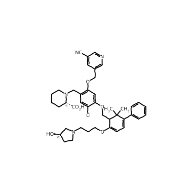 CC1(C)C(c2ccccc2)=CC=C(OCCCN2CC[C@@H](O)C2)C1COc1cc(OCc2cncc(C#N)c2)c(CN2CCCC[C@H]2C(=O)O)cc1Cl